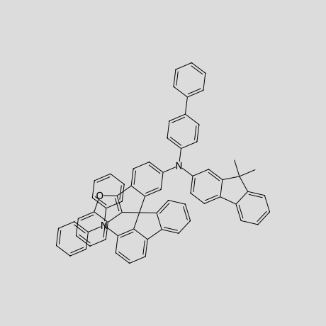 CC1(C)c2ccccc2-c2ccc(N(c3ccc(-c4ccccc4)cc3)c3ccc4c(c3)C3(c5ccccc5-c5cccc(N(c6ccccc6)c6ccccc6)c53)c3c-4oc4ccccc34)cc21